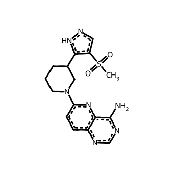 CS(=O)(=O)c1cn[nH]c1C1CCCN(c2ccc3ncnc(N)c3n2)C1